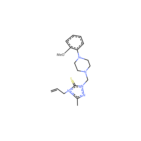 C=CCn1c(C)nn(CN2CCN(c3ccccc3OC)CC2)c1=S